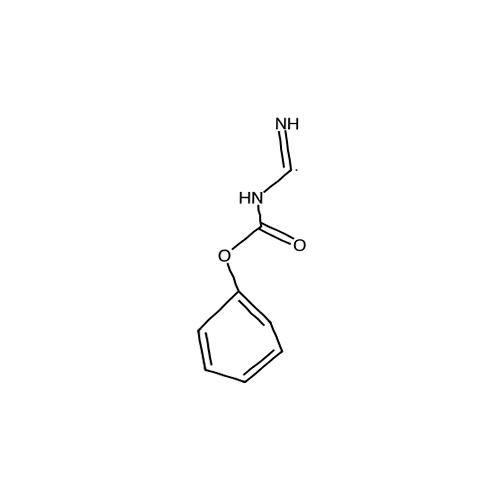 N=[C]NC(=O)Oc1ccccc1